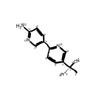 CC(C)[C@@](C)(C#N)c1ccc(-c2ccc(N)nc2)nc1